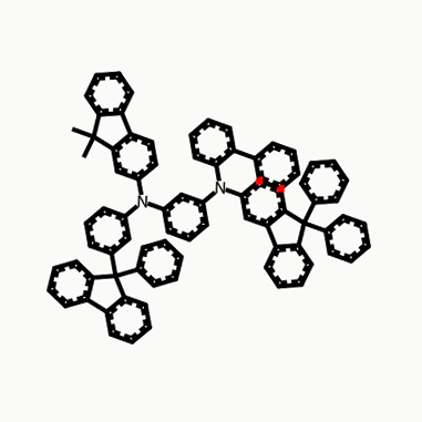 CC1(C)c2ccccc2-c2ccc(N(c3cccc(N(c4ccc5c(c4)-c4ccccc4C5(c4ccccc4)c4ccccc4)c4ccccc4-c4ccccc4)c3)c3cccc(C4(c5ccccc5)c5ccccc5-c5ccccc54)c3)cc21